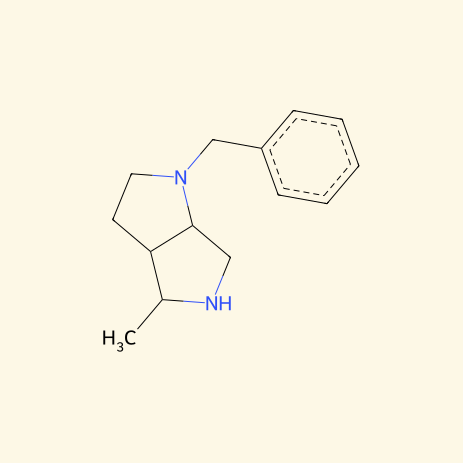 CC1NCC2C1CCN2Cc1ccccc1